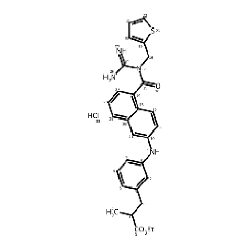 CCOC(=O)C(C)Cc1cccc(Nc2ccc3c(C(=O)N(Cc4cccs4)C(=N)N)cccc3c2)c1.Cl